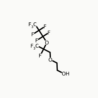 OCCOCC(F)(OC(F)(F)C(F)(F)C(F)(F)F)C(F)(F)F